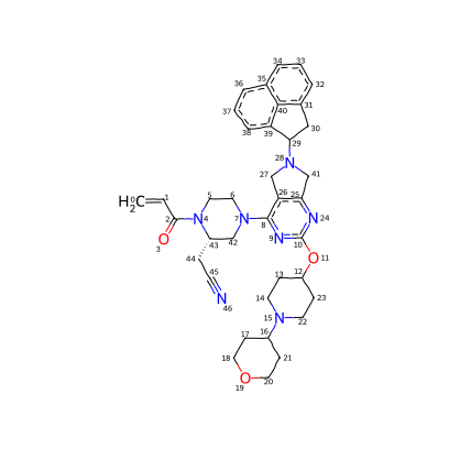 C=CC(=O)N1CCN(c2nc(OC3CCN(C4CCOCC4)CC3)nc3c2CN(C2Cc4cccc5cccc2c45)C3)C[C@@H]1CC#N